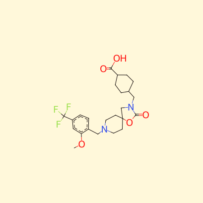 COc1cc(C(F)(F)F)ccc1CN1CCC2(CC1)CN(CC1CCC(C(=O)O)CC1)C(=O)O2